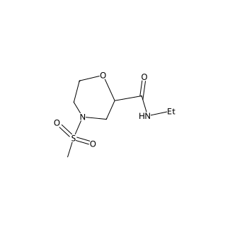 CCNC(=O)C1CN(S(C)(=O)=O)CCO1